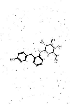 N#Cc1ccc(Cc2ccccc2O[C@@H]2O[C@H](CO)[C@@H](O)[C@H](O)[C@H]2O)cc1